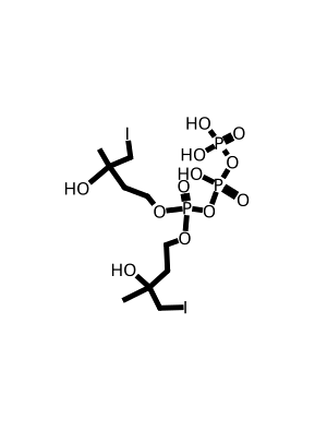 CC(O)(CI)CCOP(=O)(OCCC(C)(O)CI)OP(=O)(O)OP(=O)(O)O